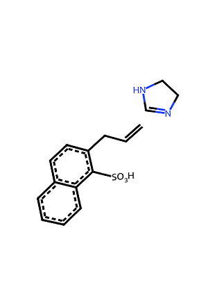 C1=NCCN1.C=CCc1ccc2ccccc2c1S(=O)(=O)O